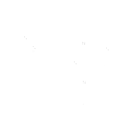 c1nc2nc(-c3ccc4cn[nH]c4c3)nc(N3CCOCC3)c2s1